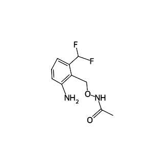 CC(=O)NOCc1c(N)cccc1C(F)F